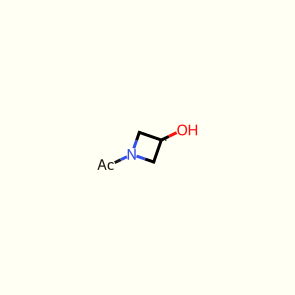 CC(=O)N1C[C](O)C1